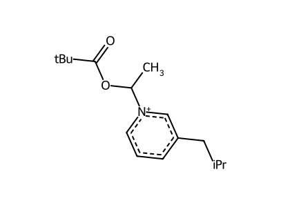 CC(C)Cc1ccc[n+](C(C)OC(=O)C(C)(C)C)c1